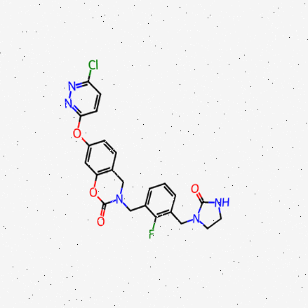 O=C1NCCN1Cc1cccc(CN2Cc3ccc(Oc4ccc(Cl)nn4)cc3OC2=O)c1F